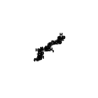 C[C@H](c1ncc(-c2cnc3[nH]cc(C(=O)c4c(F)ccc(NS(=O)(=O)N5CC[C@@H](F)C5)c4F)c3c2)cn1)N1CCN(CC2CCN(c3ccc4c(c3)CN([C@H]3CCC(=O)NC3=O)C4=O)CC2)CC1